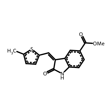 COC(=O)c1ccc2c(c1)C(=Cc1ccc(C)s1)C(=O)N2